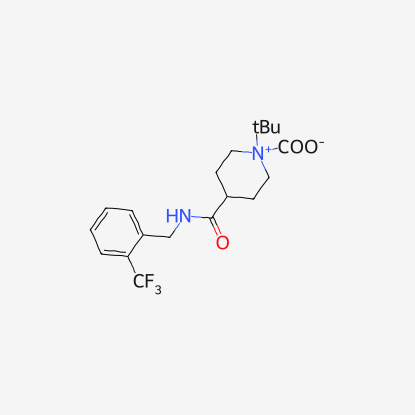 CC(C)(C)[N+]1(C(=O)[O-])CCC(C(=O)NCc2ccccc2C(F)(F)F)CC1